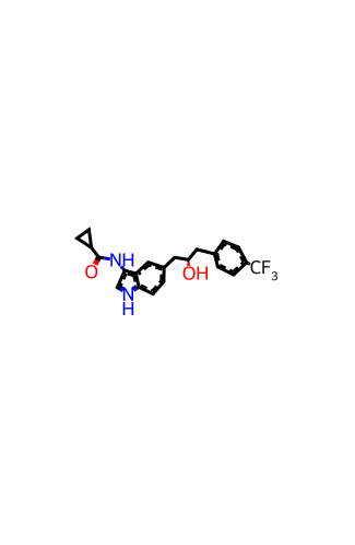 O=C(Nc1c[nH]c2ccc(C[C@H](O)Cc3ccc(C(F)(F)F)cc3)cc12)C1CC1